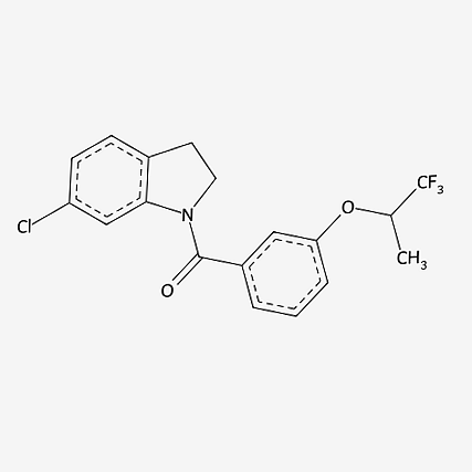 CC(Oc1cccc(C(=O)N2CCc3ccc(Cl)cc32)c1)C(F)(F)F